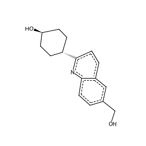 OCc1ccc2nc([C@H]3CC[C@H](O)CC3)ccc2c1